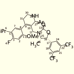 COc1cc(F)c(C(C)C)cc1C1=C(CN2C(=O)O[C@H](c3cc(C(F)(F)F)cc(C(F)(F)F)c3)[C@@H]2C)C(C(C)=O)NCC1